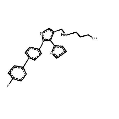 OCCCNCc1cnn(-c2ccc(-c3ccc(F)cc3)cc2)c1-c1ccco1